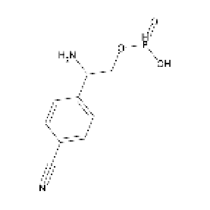 N#Cc1ccc(C(N)CO[PH](=O)O)cc1